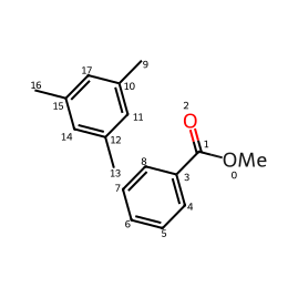 COC(=O)c1ccccc1.Cc1cc(C)cc(C)c1